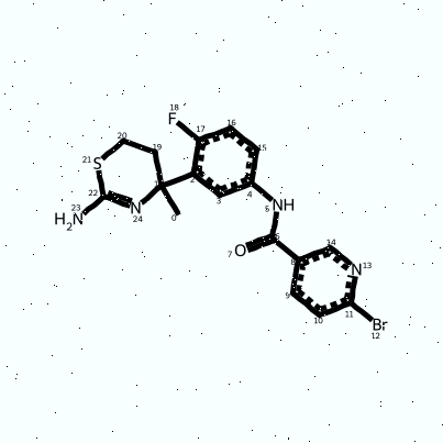 CC1(c2cc(NC(=O)c3ccc(Br)nc3)ccc2F)CCSC(N)=N1